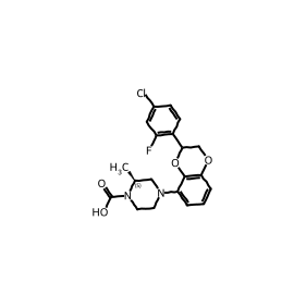 C[C@H]1CN(c2cccc3c2OC(c2ccc(Cl)cc2F)CO3)CCN1C(=O)O